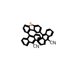 N#Cc1c2ccccc2c(-c2ccc3sc4cccc(-c5c6ccccc6c(C#N)c6ccccc56)c4c3c2)c2ccccc12